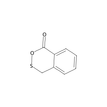 O=C1OSCc2ccccc21